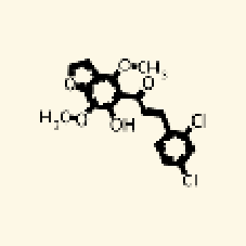 COc1c(C(=O)C=Cc2ccc(Cl)cc2Cl)c(O)c(OC)c2occc12